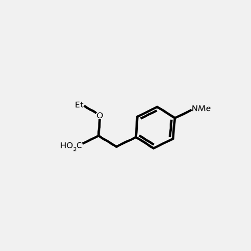 CCOC(Cc1ccc(NC)cc1)C(=O)O